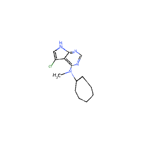 CN(c1ncnc2[nH]cc(Cl)c12)C1CCCCCC1